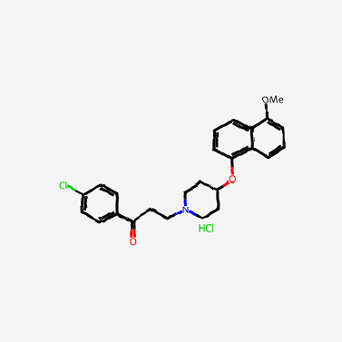 COc1cccc2c(OC3CCN(CCC(=O)c4ccc(Cl)cc4)CC3)cccc12.Cl